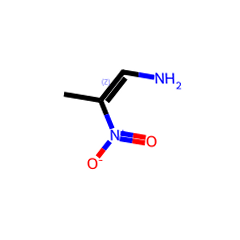 C/C(=C/N)[N+](=O)[O-]